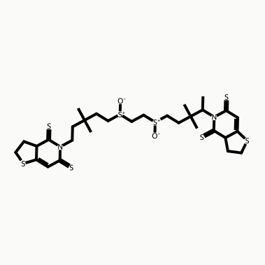 CC(N1C(=S)C=C2SCCC2C1=S)C(C)(C)CC[S+]([O-])CC[S+]([O-])CCC(C)(C)CCN1C(=S)C=C2SCCC2C1=S